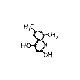 Cc1cc(C)c2nc(O)cc(O)c2c1